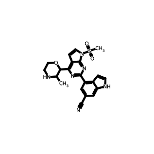 CC1NCCOC1c1nc(-c2cc(C#N)cc3[nH]ccc23)nc2c1ccn2S(C)(=O)=O